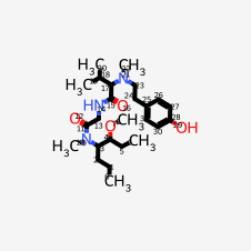 CCCC(C(CC)OC)N(C)C(=O)CNC(=O)C(C(C)C)N(C)CCc1ccc(O)cc1